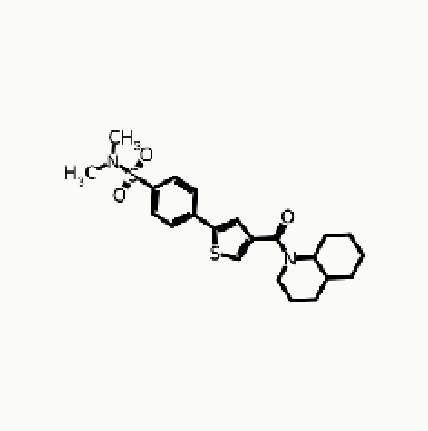 CN(C)S(=O)(=O)c1ccc(-c2cc(C(=O)N3CCCC4CCCCC43)cs2)cc1